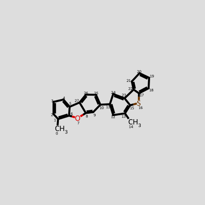 Cc1cccc2c1oc1cc(-c3cc(C)c4sc5ccccc5c4c3)ccc12